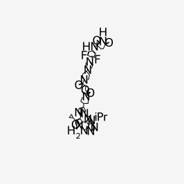 CC(C)n1nc(-c2noc(C3CC3)c2-c2ncc(C3CCN(C(=O)OCC(=O)N4CCC(N5CCN(c6c(F)cc(NC7CCC(=O)NC7=O)cc6F)CC5)CC4)CC3)cn2)c2c(N)ncnc21